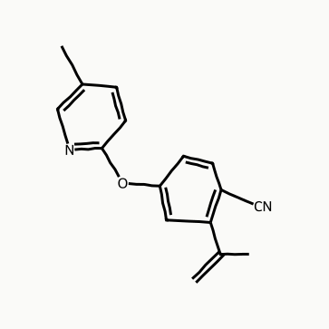 C=C(C)c1cc(Oc2ccc(C)cn2)ccc1C#N